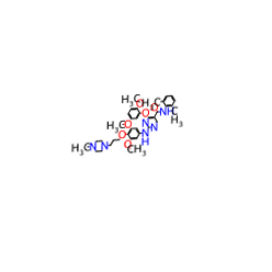 COc1ccccc1Oc1nc(Nc2cc(OC)c(OCCCN3CCN(C)CC3)c(OC)c2)ncc1C(=O)Nc1c(C)cccc1C